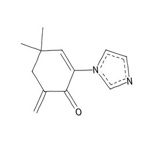 C=C1CC(C)(C)C=C(n2ccnc2)C1=O